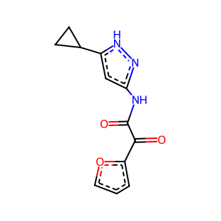 O=C(Nc1cc(C2CC2)[nH]n1)C(=O)c1ccco1